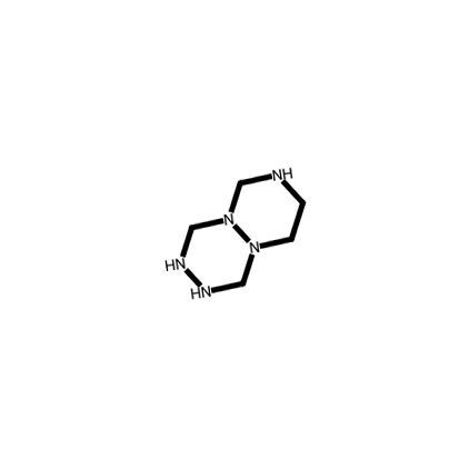 C1CN2CNNCN2CN1